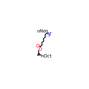 CCCCCCCCCC(CCCCCCC(=O)OCC1CC1CCCCCCCC)N(C)C